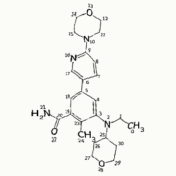 CCN(c1cc(-c2ccc(N3CCOCC3)nc2)cc(C(N)=O)c1C)C1CCOCC1